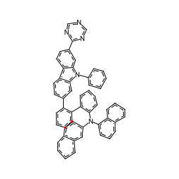 c1ccc(-n2c3cc(-c4ncncn4)ccc3c3ccc(-c4ccccc4-c4ccccc4N(c4ccc5ccccc5c4)c4cccc5ccccc45)cc32)cc1